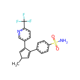 CC1C=C(c2ccc(S(N)(=O)=O)cc2)C(c2ccc(C(F)(F)F)nc2)=C1